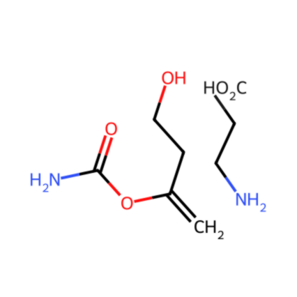 C=C(CCO)OC(N)=O.NCCC(=O)O